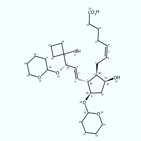 CCCCC1([C@H](/C=C/[C@@H]2[C@@H](C/C=C\CCCC(=O)O)[C@@H](O)C[C@H]2OC2CCCCO2)OC2CCCCO2)CCC1